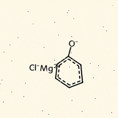 [Cl-].[Mg+2].[O-]c1ccccc1